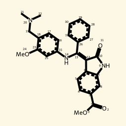 COC(=O)c1ccc2c(c1)NC(=O)C2=C(Nc1ccc(CN(C)C)c(OC)c1)c1ccccc1